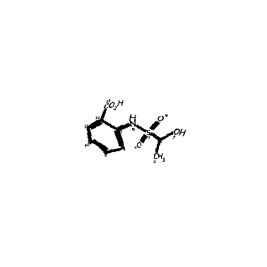 CC(O)S(=O)(=O)Nc1ccccc1C(=O)O